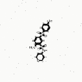 CC(=O)c1ccc(S(=O)(=O)c2ccc(C)c(S(=O)(=O)NC3CCOCC3)c2)cc1